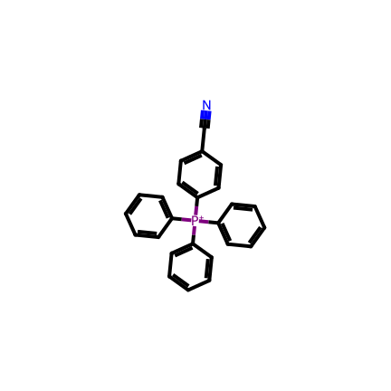 N#Cc1ccc([P+](c2ccccc2)(c2ccccc2)c2ccccc2)cc1